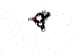 Cc1nn(C)cc1C(=O)N[S@]1(=O)=NC(=O)C(C)(C)OC/C=C/[C@H](O)[C@@H]2CC[C@H]2CN2CCCCc3cc(Cl)ccc3COc3ccc1cc32